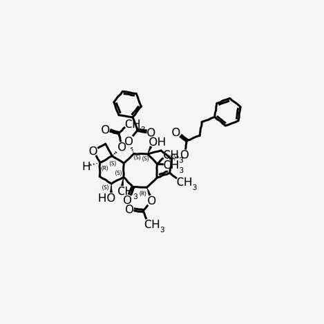 CC(=O)O[C@H]1C(=O)[C@@]2(C)C([C@H](OC(=O)c3ccccc3)[C@]3(O)C[C@H](OC(=O)CCc4ccccc4)C(C)=C1C3(C)C)[C@]1(OC(C)=O)CO[C@@H]1C[C@@H]2O